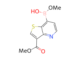 COB(O)c1ccnc2c(C(=O)OC)csc12